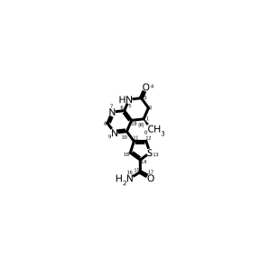 C[C@@H]1CC(=O)Nc2ncnc(-c3csc(C(N)=O)c3)c21